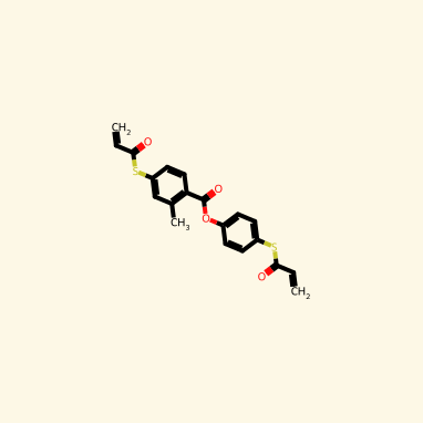 C=CC(=O)Sc1ccc(OC(=O)c2ccc(SC(=O)C=C)cc2C)cc1